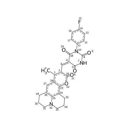 Cc1c(C=C2C(=O)NC(=O)N(c3ccc(F)cc3)C2=O)c(=O)oc2c3c4c(cc12)CCCN4CCC3